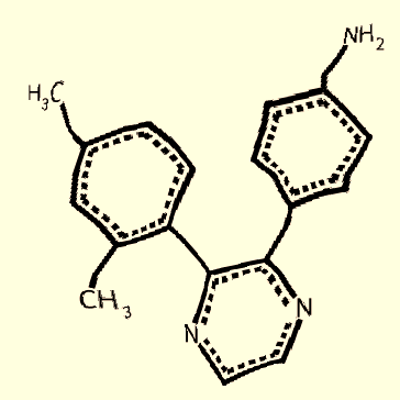 Cc1ccc(-c2nccnc2-c2ccc(N)cc2)c(C)c1